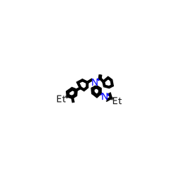 C=C(C1CCCCC1)N(CC1CCC(c2ccc(CC)c(C)c2)CC1)c1cccc(N2CC(CC)C2)c1